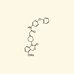 COc1cccc2c1COC(=O)N2C1CCN(CC(=O)Nc2ccc(Oc3ccccc3)cc2)CC1